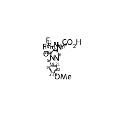 COc1ccc(Cn2ncc3c(c(C(F)F)nn3CC(=O)O)c2=O)cc1